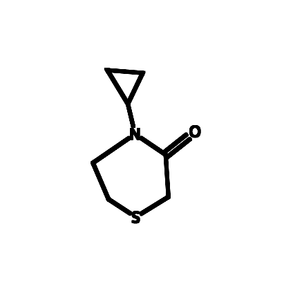 O=C1CSCCN1C1CC1